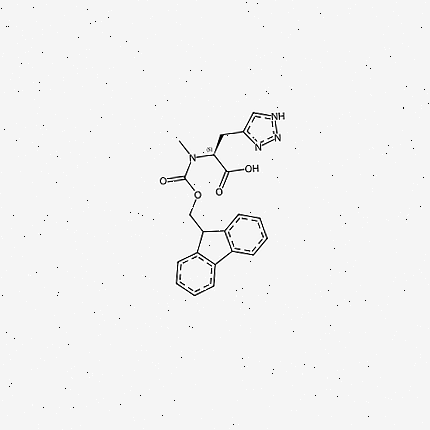 CN(C(=O)OCC1c2ccccc2-c2ccccc21)[C@@H](Cc1c[nH]nn1)C(=O)O